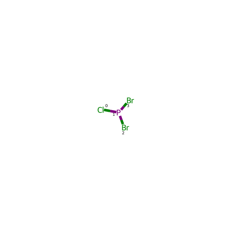 ClP(Br)Br